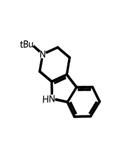 CC(C)(C)N1CCc2c([nH]c3ccccc23)C1